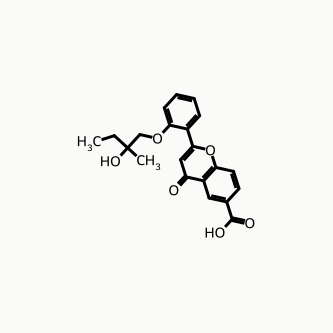 CCC(C)(O)COc1ccccc1-c1cc(=O)c2cc(C(=O)O)ccc2o1